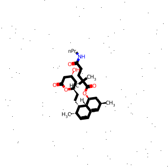 CCCNC(=O)CCC(C)(C)C(=O)O[C@H]1C[C@@H](C)C=C2C=C[C@H](C)[C@H](CC[C@@H]3C[C@@H](O)CC(=O)O3)[C@H]21